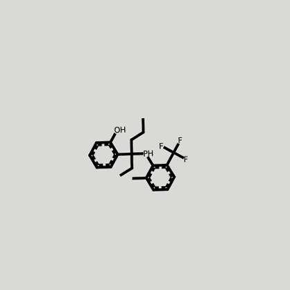 CCCC(CC)(Pc1c(C)cccc1C(F)(F)F)c1ccccc1O